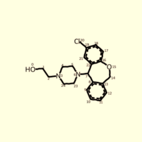 OCCN1CCN(C2c3ccccc3COc3ccc(Cl)cc32)CC1